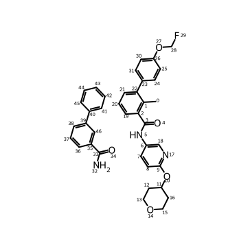 Cc1c(C(=O)Nc2ccc(OC3CCOCC3)nc2)cccc1-c1ccc(OCF)cc1.NC(=O)c1cccc(-c2ccccc2)c1